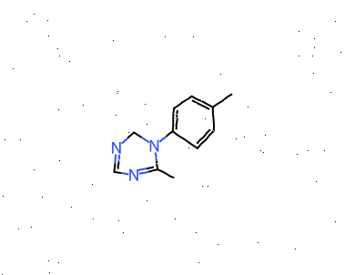 CC1=NC=NCN1c1ccc(C)cc1